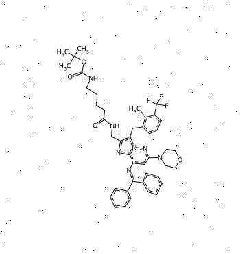 Cc1c(Cc2c(CNC(=O)CCCCNC(=O)OC(C)(C)C)nc3c(N=C(c4ccccc4)c4ccccc4)cc(N4CCOCC4)nn23)cccc1C(F)(F)F